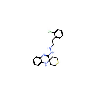 Clc1ccccc1CCNNC1=Nc2ccccc2NC12CCSCC2